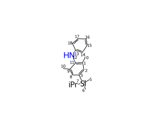 Cc1cc([Si](C)(C)C(C)C)cc(C)c1Nc1ccccc1